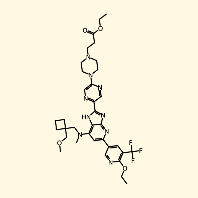 CCOC(=O)CCN1CCN(c2cnc(-c3nc4nc(-c5cnc(OCC)c(C(F)(F)F)c5)cc(N(C)CC5(COC)CCC5)c4[nH]3)cn2)CC1